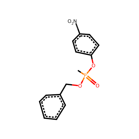 CP(=O)(OCc1ccccc1)Oc1ccc([N+](=O)[O-])cc1